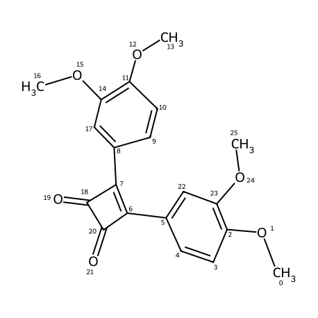 COc1ccc(-c2c(-c3ccc(OC)c(OC)c3)c(=O)c2=O)cc1OC